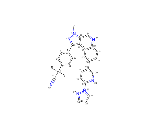 Cn1nc(-c2ccc(C(C)(C)C#N)cc2)c2c3cc(-c4ccc(-n5cccn5)nc4)ccc3ncc21